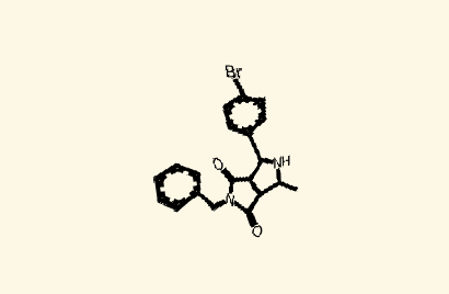 CC1NC(c2ccc(Br)cc2)C2C(=O)N(Cc3ccccc3)C(=O)C12